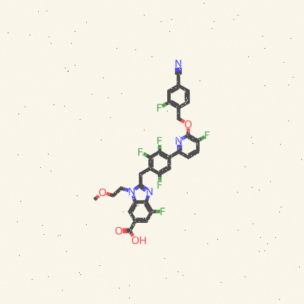 COCCn1c(Cc2c(F)cc(-c3ccc(F)c(OCc4ccc(C#N)cc4F)n3)c(F)c2F)nc2c(F)cc(C(=O)O)cc21